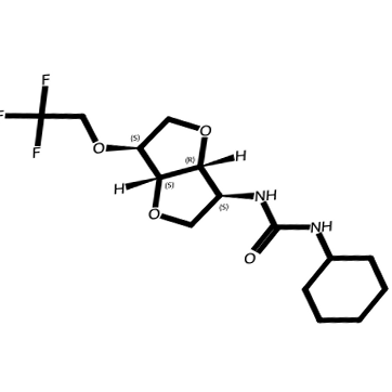 O=C(NC1CCCCC1)N[C@H]1CO[C@H]2[C@@H]1OC[C@@H]2OCC(F)(F)F